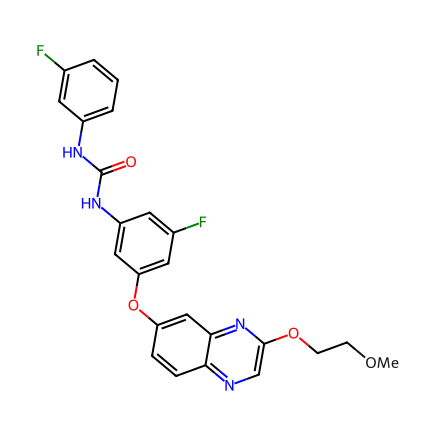 COCCOc1cnc2ccc(Oc3cc(F)cc(NC(=O)Nc4cccc(F)c4)c3)cc2n1